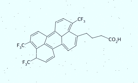 O=C(O)CCCC1=CC=C2C3=c4c(c(C(F)(F)F)ccc4=C4C=CC(C(F)(F)F)=C1C24)C(C(F)(F)F)C=C3